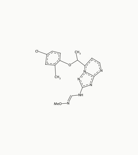 CON=CNc1nc2nccc(C(C)Oc3ccc(Cl)cc3C)n2n1